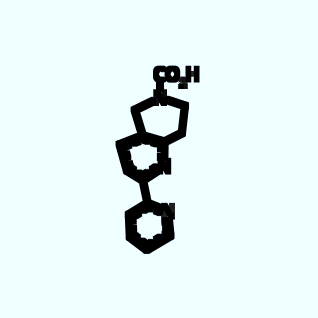 O=C(O)N1CCc2nc(-c3ccccn3)ccc2C1